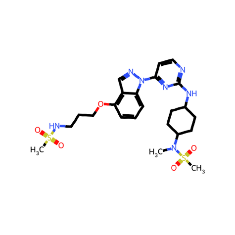 CN(C1CCC(Nc2nccc(-n3ncc4c(OCCCNS(C)(=O)=O)cccc43)n2)CC1)S(C)(=O)=O